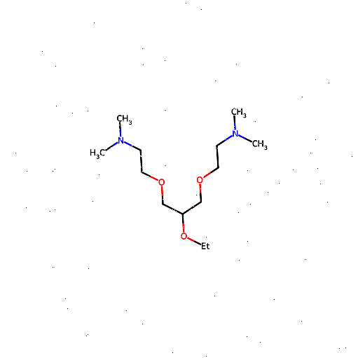 CCOC(COCCN(C)C)COCCN(C)C